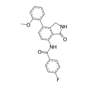 COc1ccccc1-c1ccc(NC(=O)c2ccc(F)cc2)c2c1CNC2=O